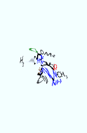 COc1nc(N2C[C@H]3C(=O)N(C)C(=N)N[C@@]3(c3cc(C#N)cs3)C2)nc(C)c1Cl